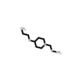 CCCOC1CCN(CSC)CC1